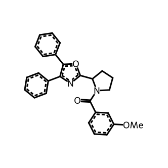 COc1cccc(C(=O)N2CCCC2c2nc(-c3ccccc3)c(-c3ccccc3)o2)c1